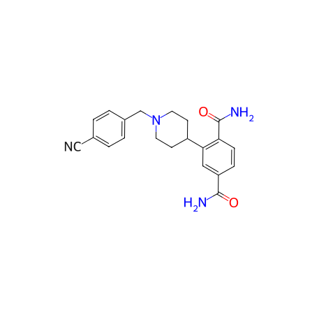 N#Cc1ccc(CN2CCC(c3cc(C(N)=O)ccc3C(N)=O)CC2)cc1